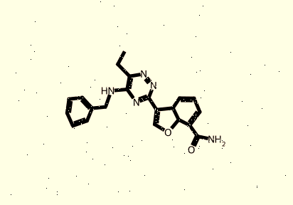 CCc1nnc(C2=COC3C(C(N)=O)=CC=CC23)nc1NCc1ccccc1